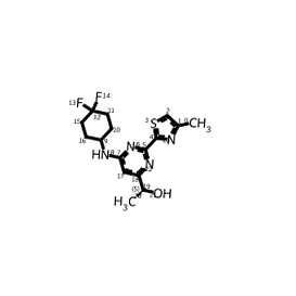 Cc1csc(-c2nc(NC3CCC(F)(F)CC3)cc([C@H](C)O)n2)n1